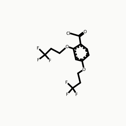 O=C(Cl)c1ccc(OCCC(F)(F)F)cc1OCCC(F)(F)F